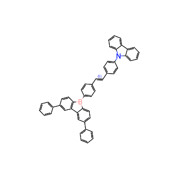 C(=C\c1ccc(-n2c3ccccc3c3ccccc32)cc1)/c1ccc(B2c3ccc(-c4ccccc4)cc3-c3cc(-c4ccccc4)ccc32)cc1